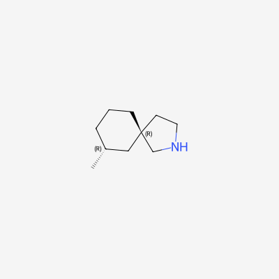 C[C@@H]1CCC[C@]2(CCNC2)C1